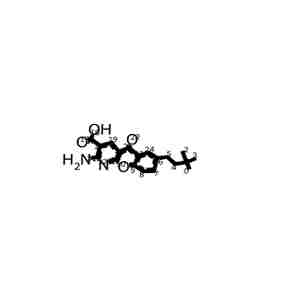 CC(C)(C)CCc1ccc2oc3nc(N)c(C(=O)O)cc3c(=O)c2c1